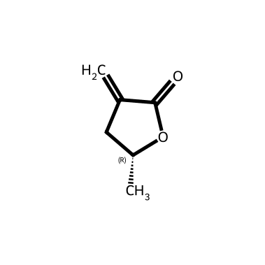 C=C1C[C@@H](C)OC1=O